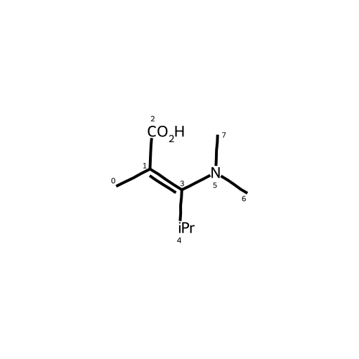 CC(C(=O)O)=C(C(C)C)N(C)C